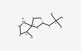 CCC1(CCCC(C)(C)C)OCCC1C